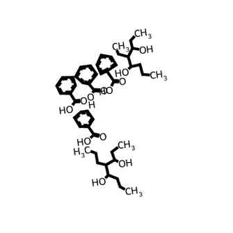 CCCC(O)C(CC)C(O)CC.CCCC(O)C(CCC)C(O)CC.O=C(O)c1ccccc1.O=C(O)c1ccccc1.O=C(O)c1ccccc1.O=C(O)c1ccccc1